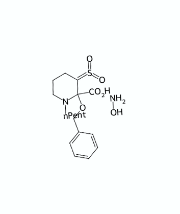 CCCCCN1CCCC(=S(=O)=O)C1(OCc1ccccc1)C(=O)O.NO